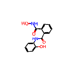 O=C(NO)c1ccccc1C(=O)Nc1ccccc1O